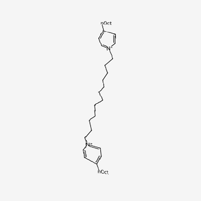 CCCCCCCCc1cc[n+](CCCCCCCCCCCC[n+]2ccc(CCCCCCCC)cc2)cc1